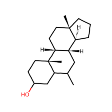 CC1C[C@@H]2[C@@H](CC[C@]3(C)CCC[C@@H]23)[C@@]2(C)CCC(O)CC12